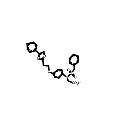 O=C(O)CN(c1ccc(OCCc2nc(-c3ccccc3)co2)cc1)S(=O)(=O)Cc1ccccc1